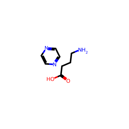 NCCCC(=O)O.c1cnccn1